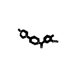 COc1cc(C(=O)N2CCC(N3CCN(C)CC3)CC2)ccc1C